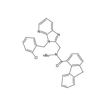 CCCCN(Cc1nc2cccnc2n1Cc1ccccc1Cl)C(=O)c1cccc2c1-c1ccccc1C2